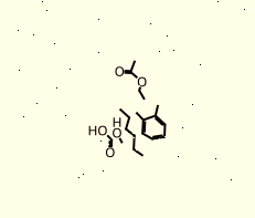 CCCCCC.CCOC(C)=O.CO.Cc1ccccc1C.O=CO